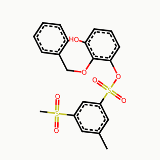 Cc1cc(S(C)(=O)=O)cc(S(=O)(=O)Oc2cccc(O)c2OCc2ccccc2)c1